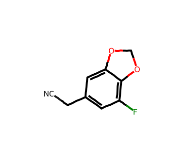 N#CCc1cc(F)c2c(c1)OCO2